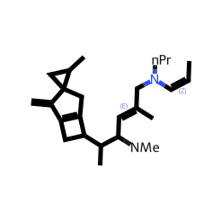 C=C1C2=C(CC13CC3C)C(C(C)C(/C=C(\C)CN(/C=C\C)CCC)NC)C2